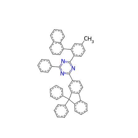 Cc1ccc(-c2nc(-c3ccccc3)nc(-c3ccc4c(c3)C(c3ccccc3)(c3ccccc3)c3ccccc3-4)n2)c(-c2cccc3ccccc23)c1